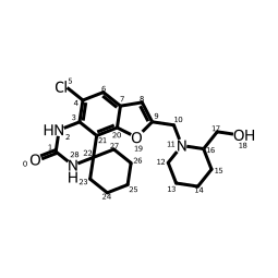 O=C1Nc2c(Cl)cc3cc(CN4CCCCC4CO)oc3c2C2(CCCCC2)N1